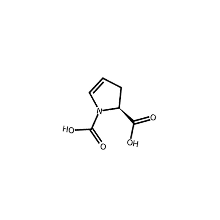 O=C(O)[C@@H]1CC=CN1C(=O)O